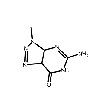 CN1N=NC2C(=O)NC(N)=NC21